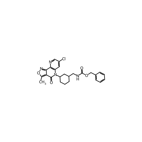 Cc1onc2c1c(=O)n(C1CCCC(CNC(=O)OCc3ccccc3)C1)c1cc(Cl)cnc21